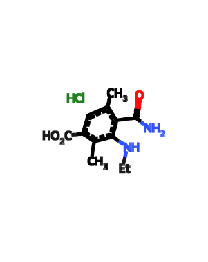 CCNc1c(C)c(C(=O)O)cc(C)c1C(N)=O.Cl